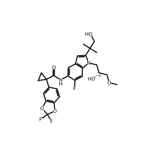 COC[C@H](O)Cn1c(C(C)(C)CO)cc2cc(NC(=O)C3(c4ccc5c(c4)OC(F)(F)O5)CC3)c(F)cc21